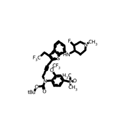 CN1CCC(Nc2cccc3c(CC(F)(F)F)c(C#CCN(C(=O)OC(C)(C)C)c4ccc(P(C)(C)=O)cc4OC(F)(F)F)sc23)C(F)C1